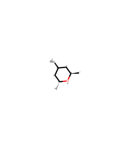 C[C@@H]1CC(C(C)(C)C)C[C@@H](C)O1